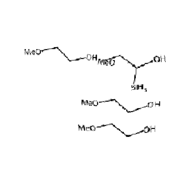 COCC(O)[SiH3].COCCO.COCCO.COCCO